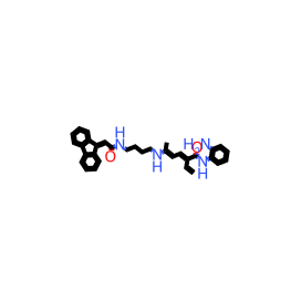 C=C/C(=C\C=C(/C)NCCCCNC(=O)C=C1c2ccccc2-c2ccccc21)C(=O)Nc1ccccc1N